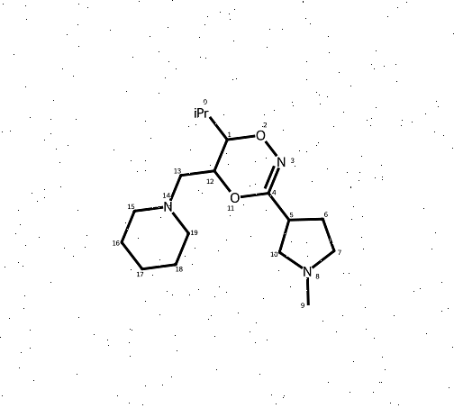 CC(C)C1ON=C(C2CCN(C)C2)OC1CN1CCCCC1